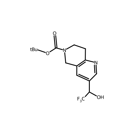 CC(C)(C)OC(=O)N1CCc2ncc(C(O)C(F)(F)F)cc2C1